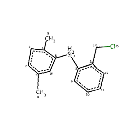 Cc1ccc(C)c([SiH2]c2ccccc2CCl)c1